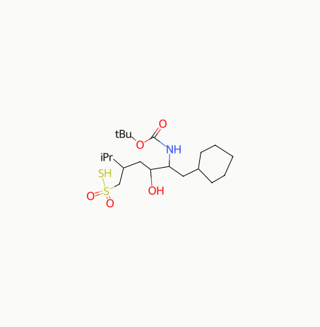 CC(C)C(CC(O)C(CC1CCCCC1)NC(=O)OC(C)(C)C)CS(=O)(=O)S